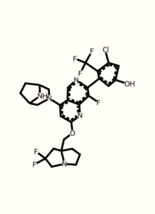 Oc1cc(Cl)c(C(F)(F)F)c(-c2ncc3c(N4CC5CCC(C4)N5)cc(OCC45CCCN4CC(F)(F)C5)nc3c2F)c1